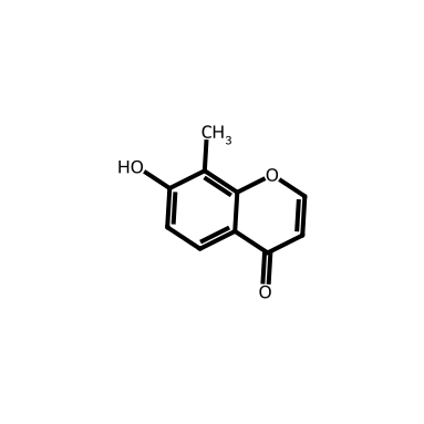 Cc1c(O)ccc2c(=O)ccoc12